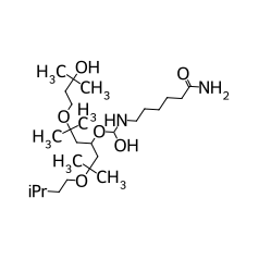 CC(C)CCOC(C)(C)CC(CC(C)(C)OCCC(C)(C)O)OC(O)NCCCCCC(N)=O